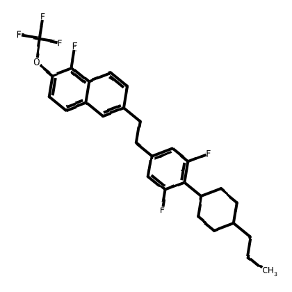 CCCC1CCC(c2c(F)cc(CCc3ccc4c(F)c(OC(F)(F)F)ccc4c3)cc2F)CC1